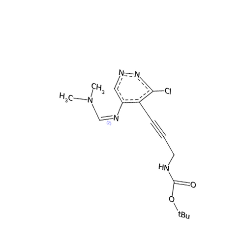 CN(C)/C=N\c1cnnc(Cl)c1C#CCNC(=O)OC(C)(C)C